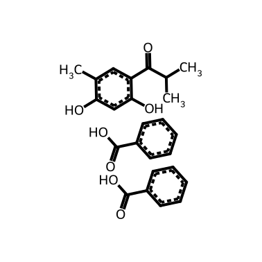 Cc1cc(C(=O)C(C)C)c(O)cc1O.O=C(O)c1ccccc1.O=C(O)c1ccccc1